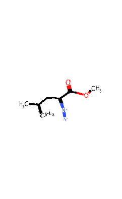 COC(=O)C(CC(C)C)=[N+]=[N-]